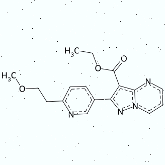 CCOC(=O)c1c(-c2ccc(CCOC)nc2)nn2cccnc12